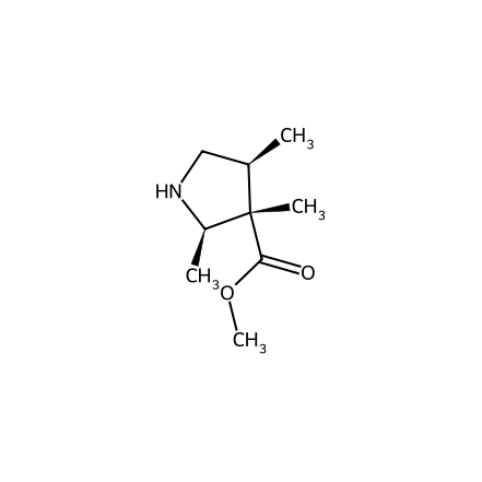 COC(=O)[C@@]1(C)[C@H](C)CN[C@@H]1C